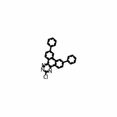 Clc1nnc2c3ccc(-c4ccccc4)cc3c3cc(-c4ccccc4)ccc3c2n1